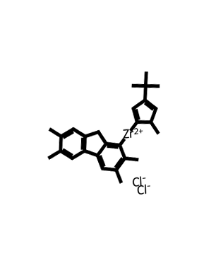 Cc1cc2c(cc1C)-c1cc(C)c(C)[c]([Zr+2][C]3=CC(C(C)(C)C)=CC3C)c1C2.[Cl-].[Cl-]